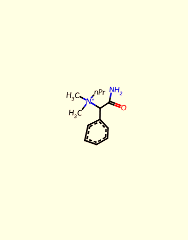 CCC[N+](C)(C)C(C(N)=O)c1ccccc1